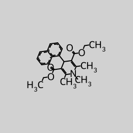 CCOC(=O)C1=C(C)N(C)C(C)=C(C(=O)OCC)C1c1cccc2ccccc12